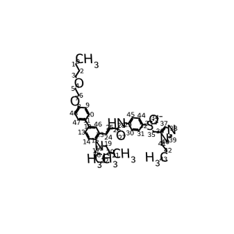 CCCCOCCOc1ccc(-c2ccc(N(CC)CC(C)C)c(C=CC(=O)Nc3ccc([S+]([O-])Cc4cncn4CCC)cc3)c2)cc1